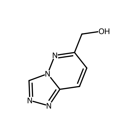 OCc1ccc2nncn2n1